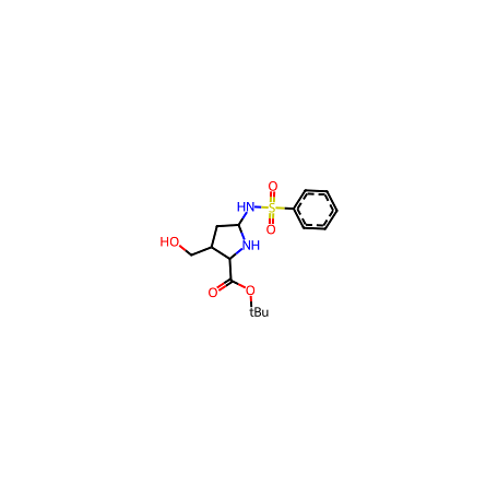 CC(C)(C)OC(=O)C1NC(NS(=O)(=O)c2ccccc2)CC1CO